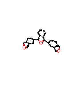 c1ccc2c(-c3ccc4cocc4c3)oc(-c3ccc4cocc4c3)c2c1